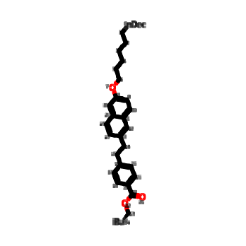 CCCCCCCCCCCCCCCCOc1ccc2cc(CCc3ccc(C(=O)OC[C@H](C)CC)cc3)ccc2c1